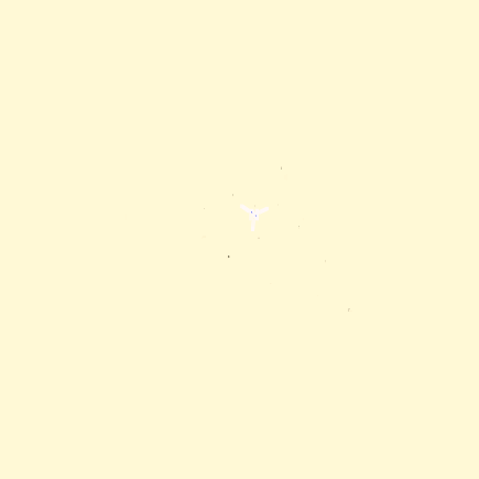 C#CCC1CCN(C(=O)O)C(c2ccc(Cl)cc2)C1